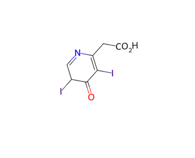 O=C(O)CC1=C(I)C(=O)C(I)C=N1